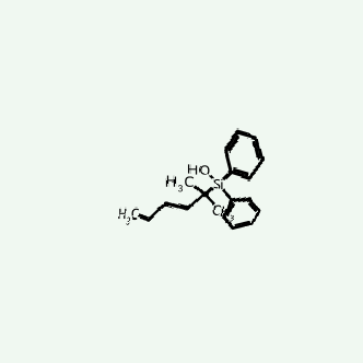 CCCCC(C)(C)[Si](O)(c1ccccc1)c1ccccc1